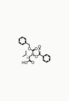 CC(C)[C@@H](C(=O)O)N(OC(=C=O)c1ccccc1)C(=O)OCc1ccccc1